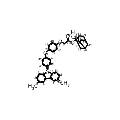 Cc1ccc2c(c1)-c1cc(C)ccc1[SH]2c1ccc(Oc2ccc(OCC(=O)OC3(C)C4CC5CC(C4)CC3C5)cc2)cc1